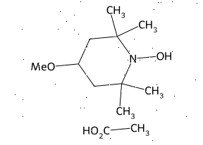 CC(=O)O.COC1CC(C)(C)N(O)C(C)(C)C1